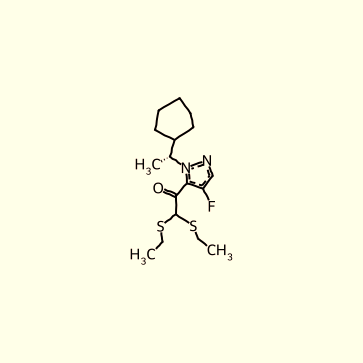 CCSC(SCC)C(=O)c1c(F)cnn1[C@H](C)C1CCCCC1